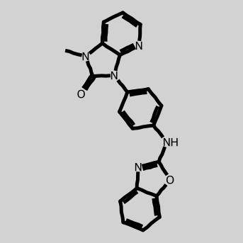 Cn1c(=O)n(-c2ccc(Nc3nc4ccccc4o3)cc2)c2ncccc21